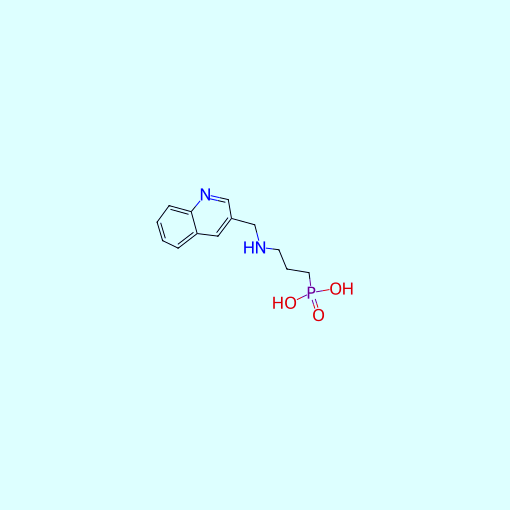 O=P(O)(O)CCCNCc1cnc2ccccc2c1